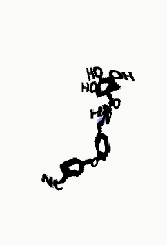 N#Cc1ccc(COc2cccc(/C=N/NC(=O)c3cc(O)c(O)c(O)c3)c2)cc1